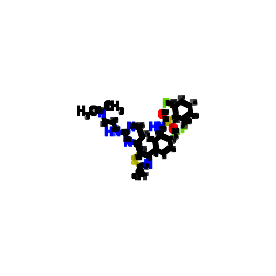 CC(C)c1nc(-c2ccc(F)c(NS(=O)(=O)c3c(F)cccc3F)c2)c(-c2ccnc(NCCN(C)C)n2)s1